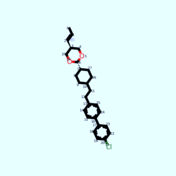 C/C=C/[C@H]1CO[C@H](C2CCC(CCc3ccc(-c4ccc(Cl)cc4)cc3)CC2)OC1